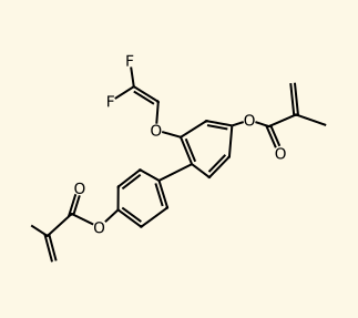 C=C(C)C(=O)Oc1ccc(-c2ccc(OC(=O)C(=C)C)cc2OC=C(F)F)cc1